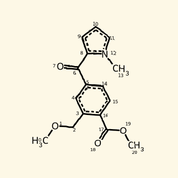 COCc1cc(C(=O)c2cccn2C)ccc1C(=O)OC